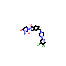 O=C1CCN(N2Cc3cc(CN4CCN(c5cc(Cl)c(Cl)cn5)CC4)ccc3C2=O)C(=O)N1